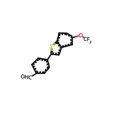 O=Cc1ccc(-c2cc3cc(OC(F)(F)F)ccc3s2)cc1